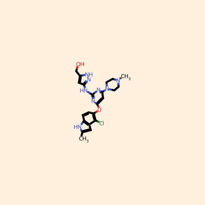 Cc1cc2c(Cl)c(Oc3cc(N4CCN(C)CC4)nc(Nc4cc(CO)[nH]n4)n3)ccc2[nH]1